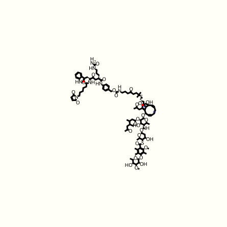 COc1c(C)c(OC2OC(C)C(O)C(OC)C2O)c(I)c(C)c1C(=O)SC1C(O)CC(ONC2C(C)OC(O[C@H]3C#C/C=C\C#C[C@]4(O)CC(=O)C(CC(C)=O)=C3/C4=C/CSSC(C)(C)CCC(=O)CCCNC(=O)OCc3ccc(NC(=O)[C@H](CCCNC(N)=O)CC(=O)[C@H](Cc4c[nH]c5ccccc45)NC(=O)CCCCCN4C(=O)C=CC4=O)cc3)C(OC3CC(C)C(CC(C)=O)CO3)C2O)OC1C